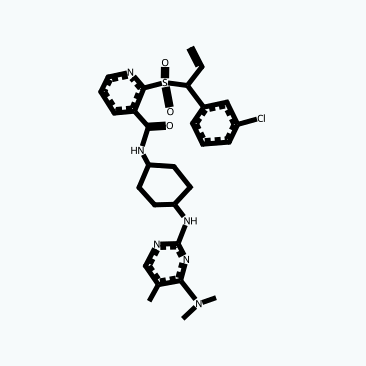 C=CC(c1cccc(Cl)c1)S(=O)(=O)c1ncccc1C(=O)NC1CCC(Nc2ncc(C)c(N(C)C)n2)CC1